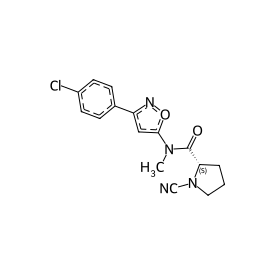 CN(C(=O)[C@@H]1CCCN1C#N)c1cc(-c2ccc(Cl)cc2)no1